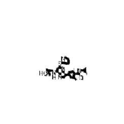 Cc1cc(-c2cnc3c(NCC(C)(C)O)cc(Sc4ccccn4)nn23)ccc1C(=O)NC1CC1